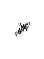 COc1ccc(C(NC(=O)C(Cc2cccc(F)c2)NC(=O)C(F)(F)c2cccc(Cl)c2)C(=O)NC(C(=O)C(F)(F)C(=O)NCC(F)(F)F)C(C)C)cc1